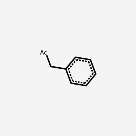 CC(=O)[CH]c1ccccc1